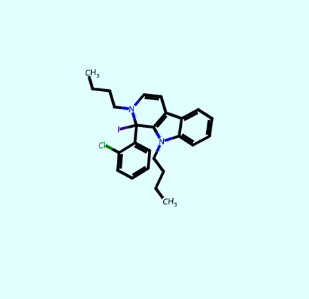 CCCCN1C=Cc2c(n(CCCC)c3ccccc23)C1(I)c1ccccc1Cl